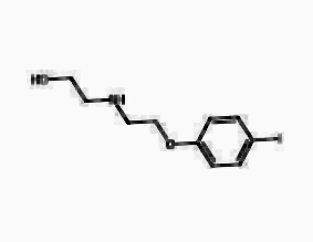 OCCNCCOc1ccc(I)cc1